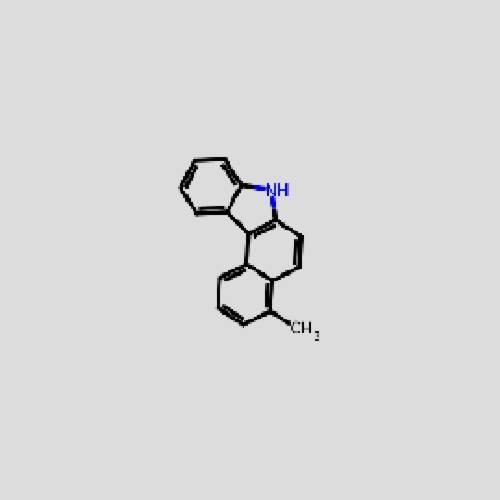 Cc1cccc2c1ccc1[nH]c3ccccc3c12